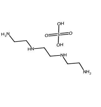 NCCNCCNCCN.O=S(=O)(O)O